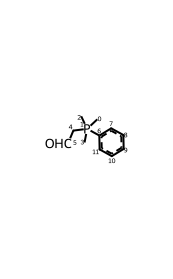 CP(C)(C)(CC=O)c1ccccc1